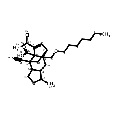 CCCCCCCOCC12CC3C(C)CCC3C3(C#N)CC1C=C(C(C)C)C32C(=O)O